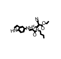 CCCCn1c(=C(C#N)C(=O)OCC)sc(=CNc2ccc3[nH]ccc3c2)c1=O